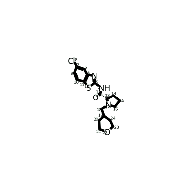 O=C(Nc1nc2cc(Cl)ccc2s1)[C@@H]1CCCN1CC1CCOCC1